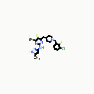 Cc1cc(Nc2nc(CC3CCN(Cc4cccc(Cl)c4F)CC3)c(F)c(C(C)C)n2)n[nH]1